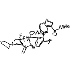 CNC(=O)c1cnn2ccc(-c3c(F)cn4nc(N[C@@H]5CN(C6COC6)CC5(F)F)nc(OC)c34)cc12